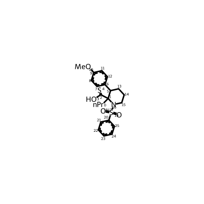 CCCC1(C(O)=S)C(c2ccc(OC)cc2)CCCN1S(=O)(=O)c1ccccc1